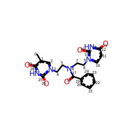 Cc1cn(CCN(CCn2ccc(=O)[nH]c2=O)C(=O)c2ccccc2)c(=O)[nH]c1=O